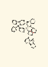 c1ccc(-c2c(N(c3cccc(-c4cccc5c4sc4ccccc45)c3)c3ccc4c(c3)C3(c5ccccc5-c5ccccc53)c3ccccc3-4)ccc3ccccc23)cc1